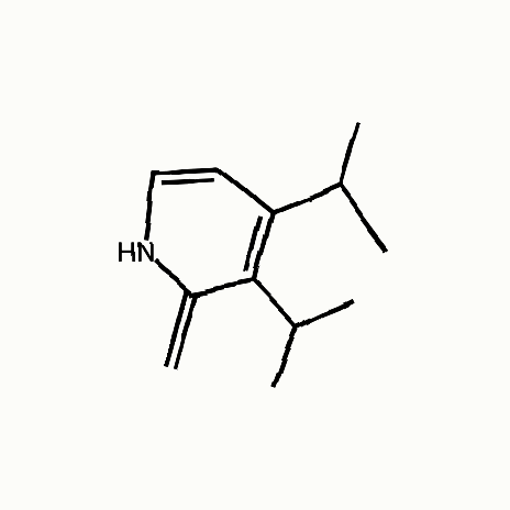 C=C1NC=CC(C(C)C)=C1C(C)C